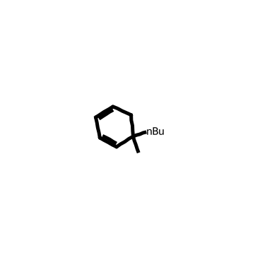 CCCCC1(C)C=CC=CC1